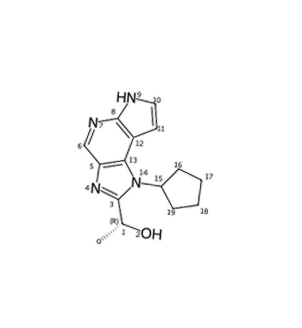 C[C@@H](O)c1nc2cnc3[nH]ccc3c2n1C1CCCC1